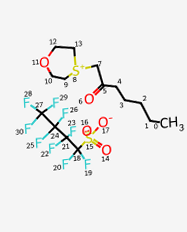 CCCCCC(=O)C[S+]1CCOCC1.O=S(=O)([O-])C(F)(F)C(F)(F)C(F)(F)C(F)(F)F